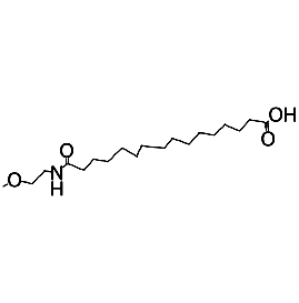 COCCNC(=O)CCCCCCCCCCCCCCC(=O)O